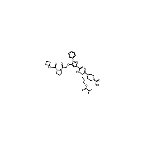 CC(C)C(=O)OCCC[C@H](NC(=O)c1cc(OCC(=O)N2CCC[C@H]2C(=O)NC2CCC2)n(-c2ccccc2)n1)C(=O)N1CCN(C(=O)O)CC1